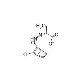 C=CC(=[N+]=N)C(=O)[O-].Clc1c2ccc-2c1Cl